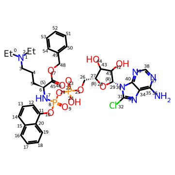 CCN(CC)CCC[C@H](NP(=O)(Oc1cccc2ccccc12)OP(=O)(O)OC[C@H]1O[C@@H](n2c(Cl)nc3c(N)ncnc32)C(O)C1O)C(=O)OCc1ccccc1